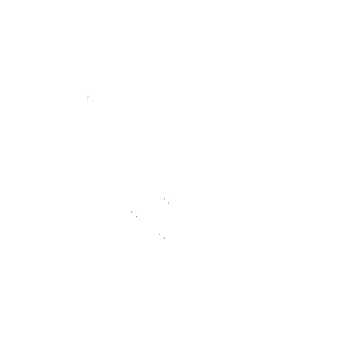 C1=C(c2cccc3ccccc23)SC2=C(c3ccccc3)N=C(n3c4ccc(-c5cccc6c5c5ccccc5n6-c5ccccc5)cc4c4ccc5ccccc5c43)NC12